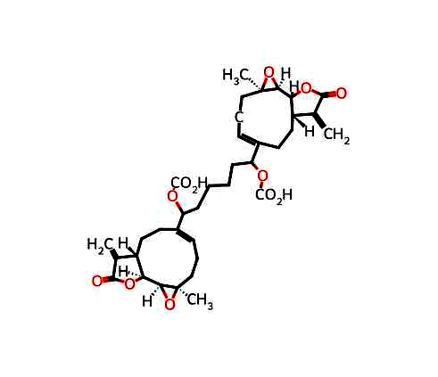 C=C1C(=O)O[C@H]2[C@H]1CC/C(C(CCCCC(OC(=O)O)/C1=C/CC[C@@]3(C)O[C@H]3[C@H]3OC(=O)C(=C)[C@@H]3CC1)OC(=O)O)=C\CC[C@@]1(C)O[C@@H]21